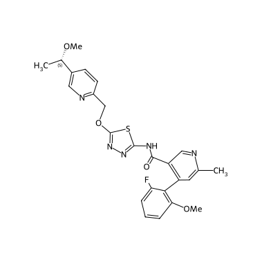 COc1cccc(F)c1-c1cc(C)ncc1C(=O)Nc1nnc(OCc2ccc([C@H](C)OC)cn2)s1